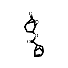 O=C1OC2CC1CCC2OC(=O)C1CC2C=CC1C2